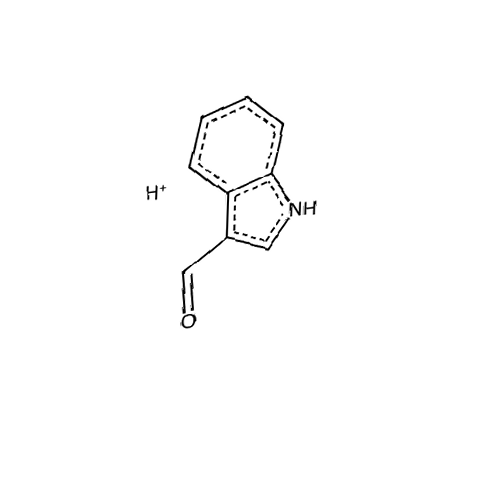 O=Cc1c[nH]c2ccccc12.[H+]